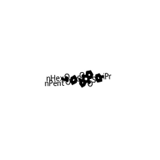 CCCCCCC(CCCCC)C(=O)Oc1ccc(Sc2cccc3c2C(=O)c2cccc(Sc4ccc(C(C)C)cc4)c2C3=O)cc1